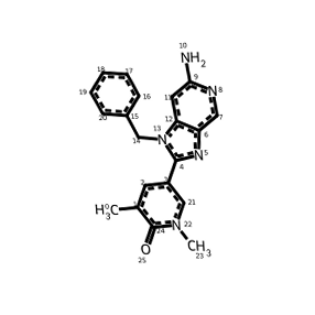 Cc1cc(-c2nc3cnc(N)cc3n2Cc2ccccc2)cn(C)c1=O